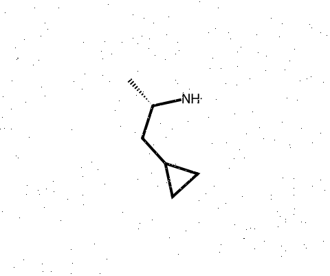 C[C@H]([NH])CC1CC1